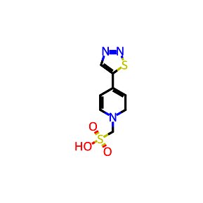 O=S(=O)(O)CN1C=CC(c2cnns2)=CC1